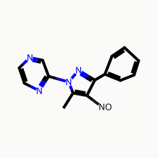 Cc1c(N=O)c(-c2ccccc2)nn1-c1cnccn1